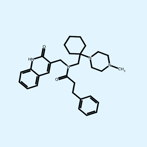 CN1CCN(C2(CN(Cc3cc4ccccc4[nH]c3=O)C(=O)CCc3ccccc3)CCCCC2)CC1